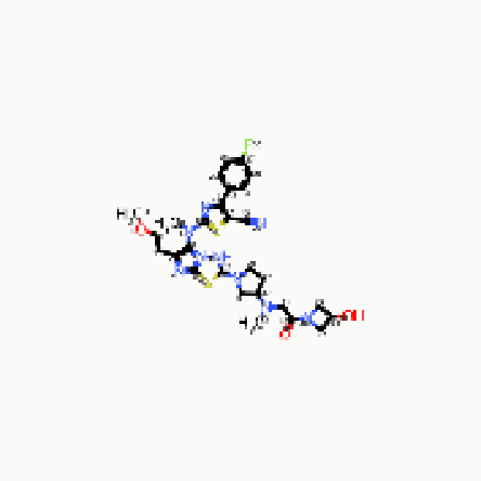 COCCc1nc2n(c1N(C)c1nc(-c3ccc(F)cc3)c(C#N)s1)NC(N1CCC(N(C)CC(=O)N3CC(O)C3)C1)S2